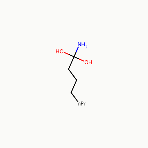 CCCCCCC(N)(O)O